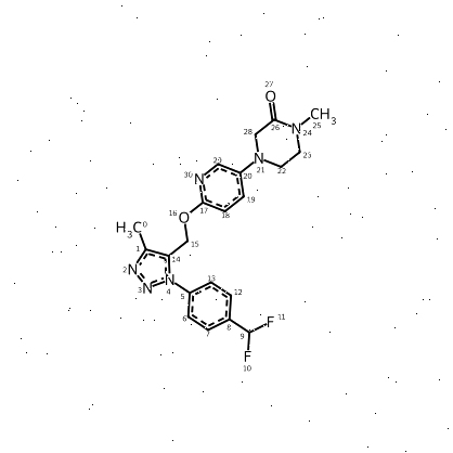 Cc1nnn(-c2ccc(C(F)F)cc2)c1COc1ccc(N2CCN(C)C(=O)C2)cn1